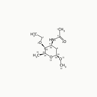 CCO[C@H]1[C@@H](NC(C)=O)C[C@@H](OC)O[C@H]1C